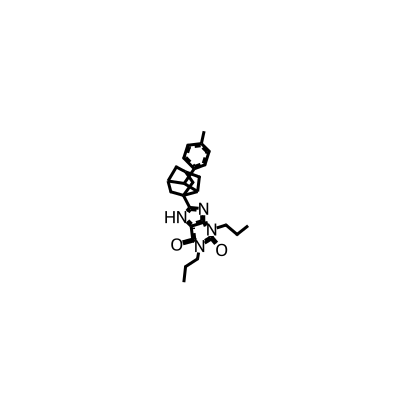 CCCn1c(=O)c2[nH]c(C34CC5CC(C3)C(c3ccc(C)cc3)C4C5)nc2n(CCC)c1=O